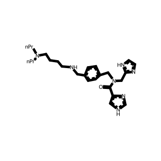 CCCN(CCC)CCCCNCc1ccc(CN(Cc2ncc[nH]2)C(=O)c2c[nH]cn2)cc1